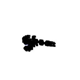 C/C=C(\Nc1nccs1)C(c1ncn2c1CCC2)n1cc2c(C(F)(F)F)cc(-c3ccc(C4CCN(CC)CC4)cc3)c(C)c2n1